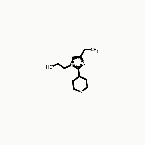 CCc1cn(CCO)c(C2CCNCC2)n1